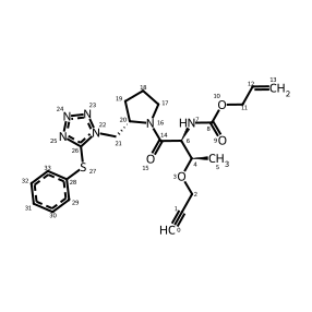 C#CCO[C@H](C)[C@H](NC(=O)OCC=C)C(=O)N1CCC[C@H]1Cn1nnnc1Sc1ccccc1